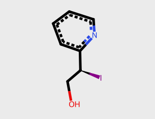 OC[C@H](I)c1ccccn1